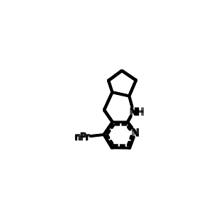 CCCc1ccnc2c1CC1CCCC1N2